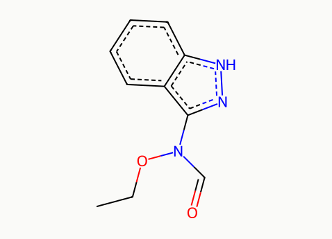 CCON(C=O)c1n[nH]c2ccccc12